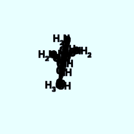 CP(=O)(O)OCCCCCCNC(=O)CCCC(=O)NC(CCC(=O)NC(CCC(=O)NCCOCCON)C(=O)NCCOCCON)C(=O)NCCOCCON